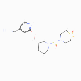 NCc1ccnc(OC[C@H]2C[C@H](C(F)(F)F)CN(S(=O)(=O)N3CCS(=O)(=O)CC3)C2)c1